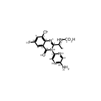 CC(NC(=O)O)c1nc2c(Cl)cc(F)cc2c(=O)n1-c1cnc(N)cn1